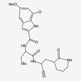 C#CC(CC1CCCNC1=O)NC(=O)C(CC(C)(C)C)NC(=O)c1cc2cc(OC)cc(Cl)c2[nH]1